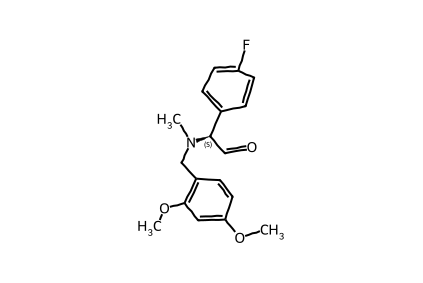 COc1ccc(CN(C)[C@H](C=O)c2ccc(F)cc2)c(OC)c1